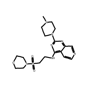 CN1CCN(c2nc(NCCS(=O)(=O)N3CCOCC3)c3ccncc3n2)CC1